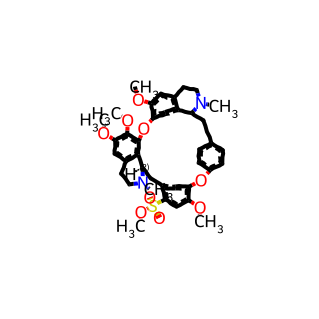 COc1cc(S(=O)(=O)OC)c2cc1Oc1ccc(cc1)CC1c3cc(c(OC)cc3CCN1C)Oc1c(OC)c(OC)cc3c1[C@@H](C2)N(C)CC3